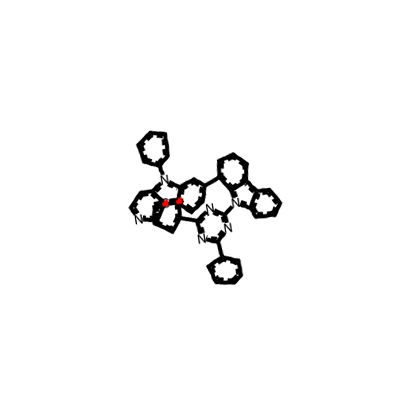 c1ccc(-c2nc(-c3ccccc3)nc(-n3c4ccccc4c4cccc(-c5ccc6c7cnccc7n(-c7ccccc7)c6c5)c43)n2)cc1